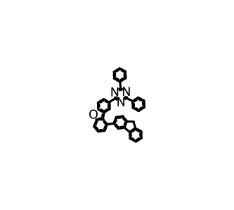 c1ccc(-c2nc(-c3ccccc3)nc(-c3ccc4oc5cccc(-c6ccc7c(c6)-c6ccccc6C7)c5c4c3)n2)cc1